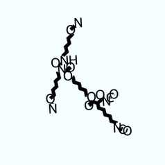 N#COCCCCCCNC(=O)N(CCCCCCOC#N)C(=O)OCCCCCCOC(=O)C(CCCCCCN=C=O)C(=O)N=C=O